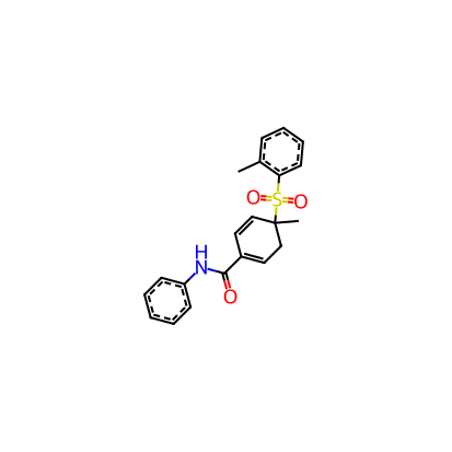 Cc1ccccc1S(=O)(=O)C1(C)C=CC(C(=O)Nc2ccccc2)=CC1